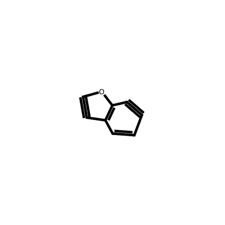 c1ccc2c#coc2c#1